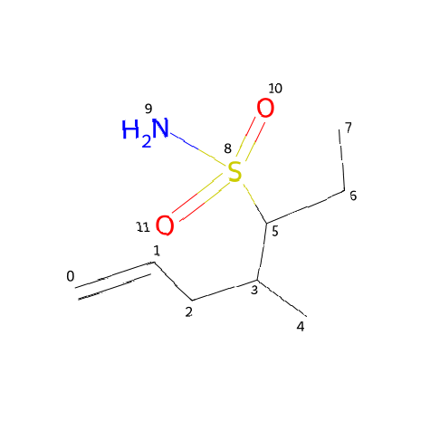 C=CCC(C)C(CC)S(N)(=O)=O